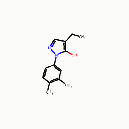 CCc1cnn(-c2ccc(C)c(C)c2)c1O